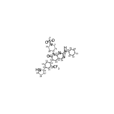 CS(=O)(=O)N1CCC(n2c(=O)c(-c3ccc(C4CCCN4)cc3C(F)(F)F)cc3cnc(Nc4ccccc4)nc32)CC1